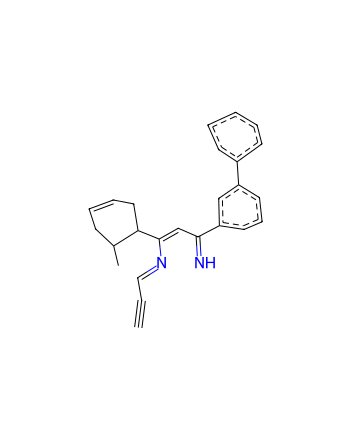 C#C/C=N/C(=C\C(=N)c1cccc(-c2ccccc2)c1)C1CC=CCC1C